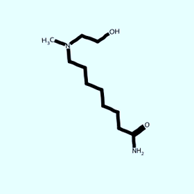 CN(CCO)CCCCCCCC(N)=O